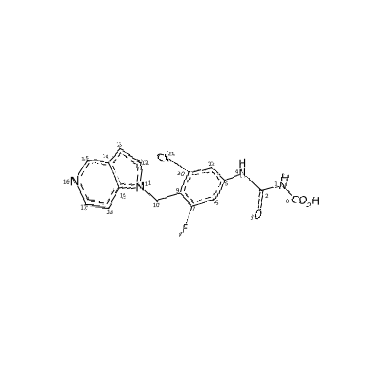 O=C(O)NC(=O)Nc1cc(F)c(Cn2ccc3cnccc32)c(Cl)c1